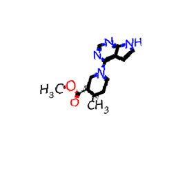 COC(=O)[C@H]1CN(c2ncnc3[nH]ccc23)CC[C@@H]1C